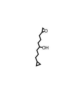 OC(CCCC1CC1)CCCC1CO1